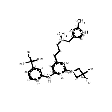 Cc1nc(CN(C)CCCc2cc(Nc3cc(C(F)(F)F)ccn3)nc(N3CC(F)(F)C3)n2)c[nH]1